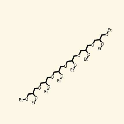 CCOCC(COCC(COCC(COCC(COCC(COCC(COCC)OCC)OCC)OCC)OCC)OCC)OCC